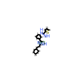 Cl.N=C(Nc1cccc(-c2c[nH]c(CCC3CCCCC3)n2)c1)c1cccs1